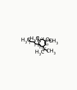 CCCCC1=CC(C(C)C)C=C(OC)CN1C